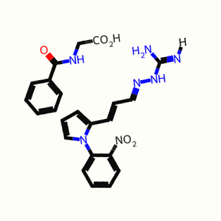 O=C(O)CNC(=O)c1ccccc1.[H]/N=C(\N)NN=CC=Cc1cccn1-c1ccccc1[N+](=O)[O-]